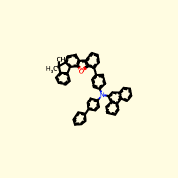 CC1(C)c2ccccc2-c2c1ccc1c2oc2c(-c3ccc(N(c4ccc(-c5ccccc5)cc4)c4cc5ccccc5c5ccccc45)cc3)cccc21